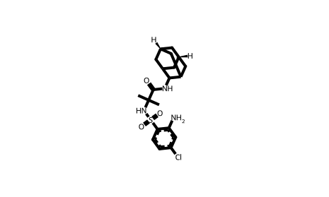 CC(C)(NS(=O)(=O)c1ccc(Cl)cc1N)C(=O)NC1C2C[C@H]3CC1C[C@H](C2)C3